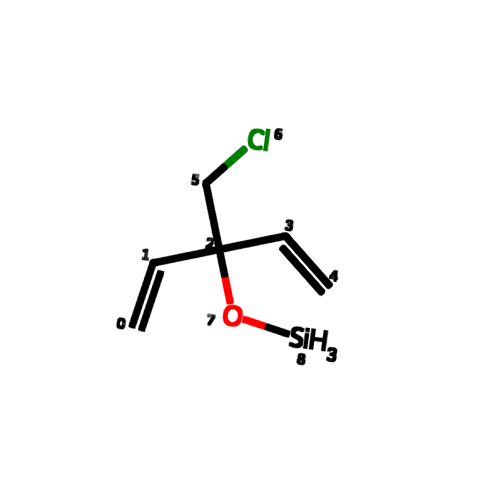 C=CC(C=C)(CCl)O[SiH3]